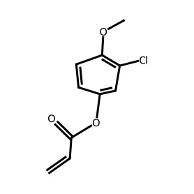 C=CC(=O)Oc1ccc(OC)c(Cl)c1